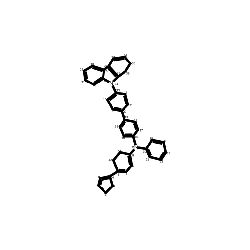 C1=CCCC=1C1=CC=C(N(c2ccccc2)c2ccc(-c3ccc(-n4c5c(c6ccccc64)C=CCC5)cc3)cc2)CC1